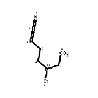 CC[C@@H](CCN=[N+]=[N-])CC(=O)O